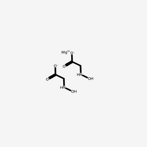 O=C([O-])CNO.O=C([O-])CNO.[Mg+2]